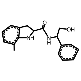 Cc1cccc2c1NC(C(=O)NC(CO)c1ccccc1)C2